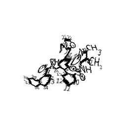 Cc1noc(NS(=O)(=O)c2ccccc2-c2ccc(-c3ncco3)cc2CN(C)C(=O)c2cccc3ccccc23)c1C